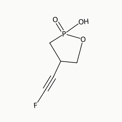 O=P1(O)CC(C#CF)CO1